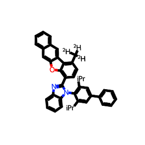 [2H]C([2H])([2H])c1ccc(-c2nc3ccccc3n2-c2c(C(C)C)cc(-c3ccccc3)cc2C(C)C)c2oc3cc4ccccc4cc3c12